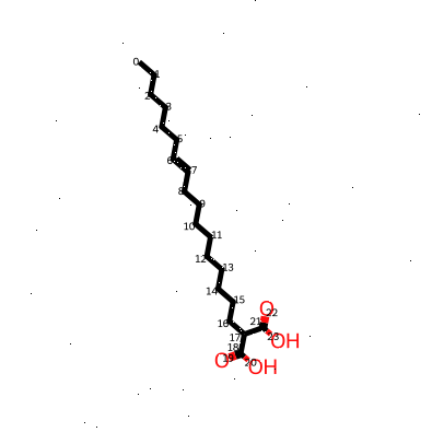 CCCCCCC=CCCCCCCCCCC(C(=O)O)C(=O)O